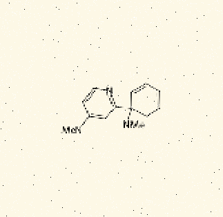 CNc1ccnc(C2(NC)C=CC=CC2)c1